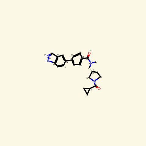 CN(C[C@@H]1CCN(C(=O)C2CC2)C1)C(=O)c1ccc(-c2ccc3[nH]ncc3c2)cc1